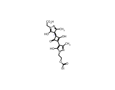 CCC(=O)OCCn1nc(C)c(C2=C(O)/C(=C3\C(C)=N[N+](CC(=O)O)=C3O)C2=O)c1O